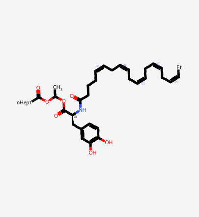 CC/C=C\C/C=C\C/C=C\C/C=C\C/C=C\CCCC(=O)N[C@@H](Cc1ccc(O)c(O)c1)C(=O)OC(C)OC(=O)CCCCCCC